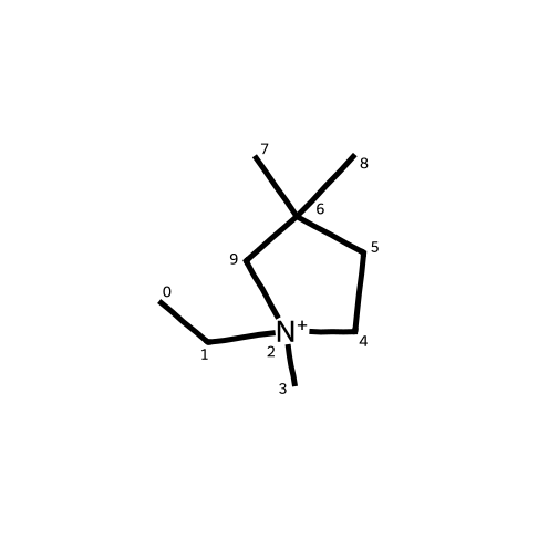 CC[N+]1(C)CCC(C)(C)C1